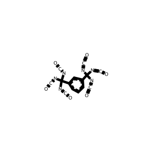 O=C=NC(N=C=O)(N=C=O)c1cccc(C(N=C=O)(N=C=O)N=C=O)c1